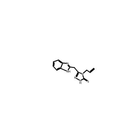 C=CCn1c(Cc2nc3ccccc3[nH]2)n[nH]c1=S